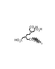 N.N.N.N.O=C(O)CN(CCN(CC(=O)O)CC(=O)O)CC(=O)O